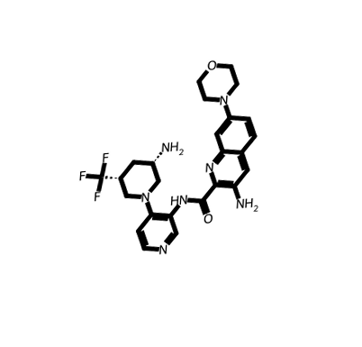 Nc1cc2ccc(N3CCOCC3)cc2nc1C(=O)Nc1cnccc1N1C[C@@H](N)C[C@@H](C(F)(F)F)C1